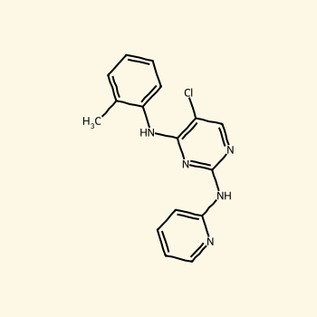 Cc1ccccc1Nc1nc(Nc2ccccn2)ncc1Cl